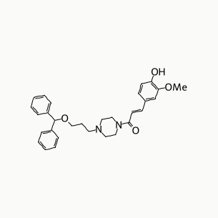 COc1cc(C=CC(=O)N2CCN(CCCOC(c3ccccc3)c3ccccc3)CC2)ccc1O